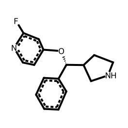 Fc1cc(O[C@@H](c2ccccc2)C2CCNC2)ccn1